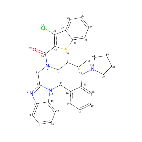 CCCCN(Cc1nc2ccccc2n1Cc1ccccc1CN1CCCC1)C(=O)c1sc2ccccc2c1Cl